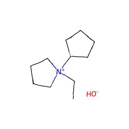 CC[N+]1(C2CCCC2)CCCC1.[OH-]